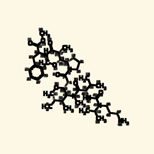 CC[C@H](C)[C@@H]([C@@H](CC(=O)N1CCC[C@H]1[C@H](OC)[C@@H](C)C(=O)NC(Cc1ccccc1)C(=O)OC)OC)N(C)C(=O)[C@@H](NC(=O)N(CCCN)C(C)C)C(C)C